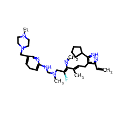 C=Cc1n[nH]c(C2CCCC2)c1C/C=C(C)/C(N=C)=C(\F)CN(C)CNC1=CCC=C(CN2CCN(CC)CC2)C=N1